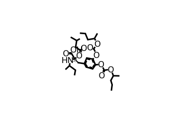 CCCC(C)OC(=O)Oc1ccc(C[C@](NC(C)CC)(OC(=O)CC(C)C)C(=O)O)cc1OC(=O)OC(C)CCC